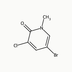 Cn1cc(Br)cc(Cl)c1=O